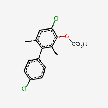 Cc1cc(Cl)c(OC(=O)O)c(C)c1-c1ccc(Cl)cc1